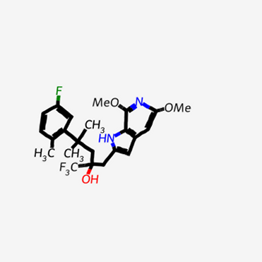 COc1cc2cc(CC(O)(CC(C)(C)c3cc(F)ccc3C)C(F)(F)F)[nH]c2c(OC)n1